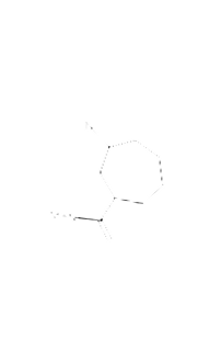 CNC(=O)C1CCCCC(N)C1